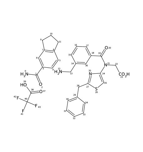 NC(=O)c1ccc2c(c1)CCC2.NCc1cccc(C(=O)N(CC(=O)O)c2csc(Cc3ccccc3)n2)c1.O=C(O)C(F)(F)F